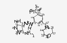 NC1=NN=C(N)C1=NNc1cc(CN2CCOCC2)cc(C(F)(F)F)c1